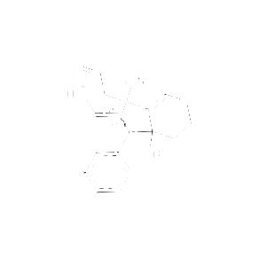 C=CCC(C)(C#N)C1=CCCCC1(C)C(/C=C/C)c1ccccc1